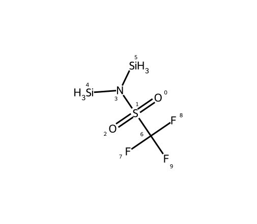 O=S(=O)(N([SiH3])[SiH3])C(F)(F)F